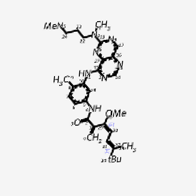 C=C(C(=O)Nc1ccc(C)c(Nc2ncnc3cnc(N(C)CCCNC)nc23)c1)/C(=C\C=C(/C)C(C)(C)C)OC